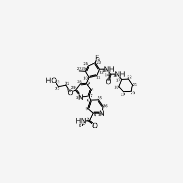 CNC(=O)c1cc(-c2cc(-c3cc(NC(=O)NC4CCCCC4)c(F)cc3C)cc(OCCO)n2)ccn1